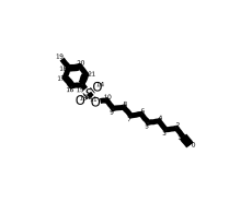 C#CCCCCCCCCCOS(=O)(=O)c1ccc(C)cc1